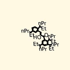 CCCC(CC)c1ccc(C(CC)CCC)c(C=C(O)C(=O)c2cc(C(CC)CCC)cc(C(CC)CCC)c2C(CC)CCC)c1